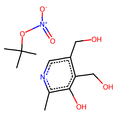 CC(C)(C)O[N+](=O)[O-].Cc1ncc(CO)c(CO)c1O